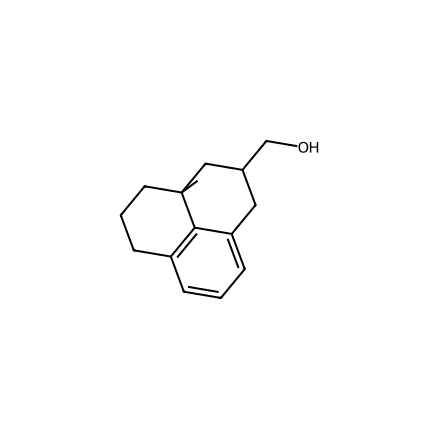 CC12CCCc3cccc(c31)CC(CO)C2